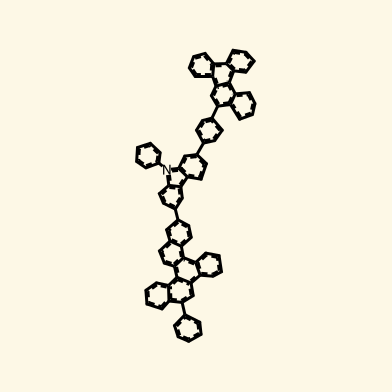 c1ccc(-c2cc3c4ccccc4c4c5ccc(-c6ccc7c(c6)c6ccc(-c8ccc(-c9cc%10c%11ccccc%11c%11ccccc%11c%10c%10ccccc9%10)cc8)cc6n7-c6ccccc6)cc5ccc4c3c3ccccc23)cc1